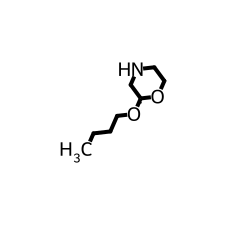 CCCCO[C]1CNCCO1